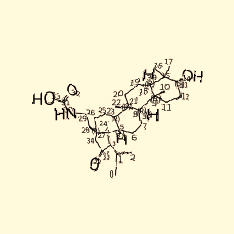 CC(C)C1=C2[C@H]3CC[C@@H]4[C@@]5(C)CC[C@H](O)C(C)(C)[C@@H]5CC[C@@]4(C)[C@]3(C)CC[C@@]2(CCNC(=O)O)CC1=O